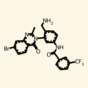 Cc1nc2cc(Br)ccc2c(=O)n1-c1cc(NC(=O)c2cccc(C(F)(F)F)c2)ccc1CN